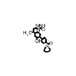 Cc1cc2n[nH]c(=O)n2c2cc(-c3ccc(C(=O)N4CCCCC4)cc3)c(O)cc12